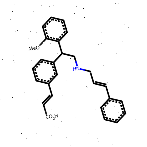 COc1ccccc1C(CNCC=Cc1ccccc1)c1cccc(C=CC(=O)O)c1